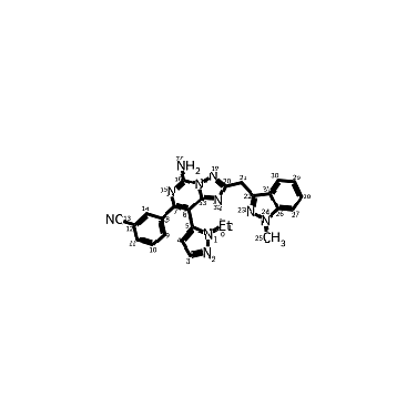 CCn1nccc1-c1c(-c2cccc(C#N)c2)nc(N)n2nc(Cc3nn(C)c4ccccc34)nc12